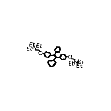 CC[N+](CC)(CC)CCOc1ccc(/C(=C(\c2ccccc2)c2ccc(OCC[N+](CC)(CC)CC)cc2)c2ccccc2)cc1